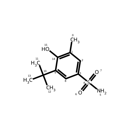 Cc1cc(S(N)(=O)=O)cc(C(C)(C)C)c1O